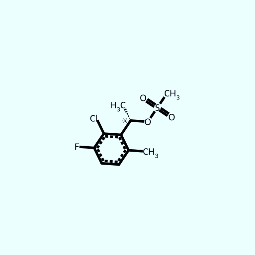 Cc1ccc(F)c(Cl)c1[C@H](C)OS(C)(=O)=O